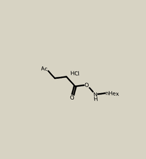 CCCCCCNOC(=O)CCC(C)=O.Cl